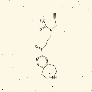 C#CCN(CCCC(=O)c1ccc2c(c1)CCNCC2)C(=O)C(F)(F)F